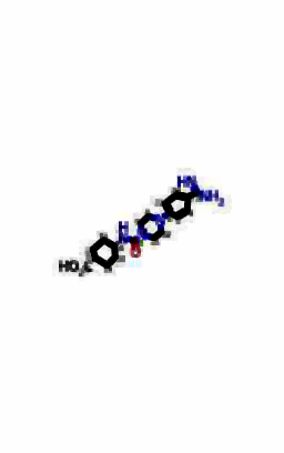 N=C(N)c1ccc(N2CCN(C(=O)N[C@H]3CC[C@H](C(=O)O)CC3)CC2)cc1